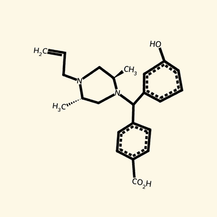 C=CCN1C[C@@H](C)N(C(c2ccc(C(=O)O)cc2)c2cccc(O)c2)C[C@@H]1C